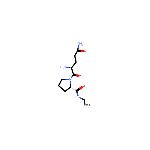 NC(=O)CC[C@H](N)C(=O)N1CCC[C@H]1C(=O)NCC(=O)O